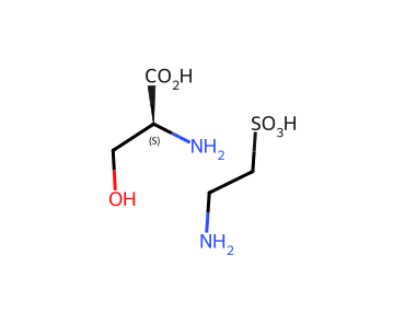 NCCS(=O)(=O)O.N[C@@H](CO)C(=O)O